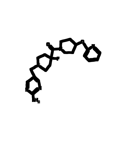 Nc1ncc(CN2CCC(F)(C(=O)N3CCC(Oc4ccccn4)CC3)CC2)cn1